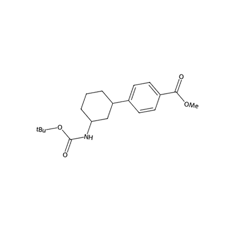 COC(=O)c1ccc(C2CCCC(NC(=O)OC(C)(C)C)C2)cc1